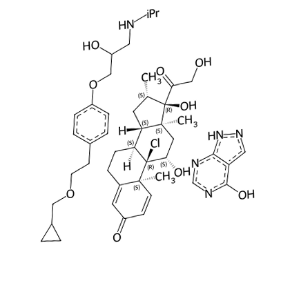 CC(C)NCC(O)COc1ccc(CCOCC2CC2)cc1.C[C@H]1C[C@H]2[C@@H]3CCC4=CC(=O)C=C[C@]4(C)[C@@]3(Cl)[C@@H](O)C[C@]2(C)[C@@]1(O)C(=O)CO.Oc1ncnc2[nH]ncc12